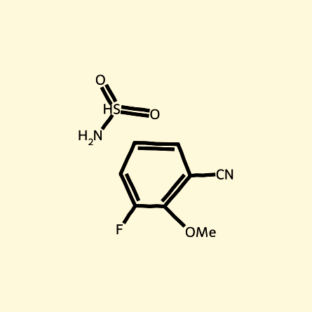 COc1c(F)cccc1C#N.N[SH](=O)=O